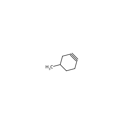 CC1CC#CCC1